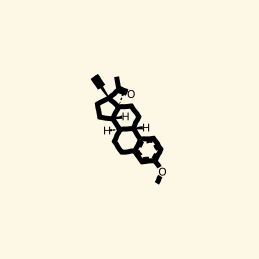 C#C[C@]1(C(C)=O)CC[C@H]2[C@@H]3CCc4cc(OC)ccc4[C@H]3CC[C@@]21C